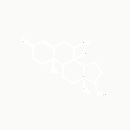 CCC[C@@H](C)[C@H]1CCC2[C@@H]3C(O)CC4=CC(=O)CC[C@]4(C)C3CC[C@@]21C